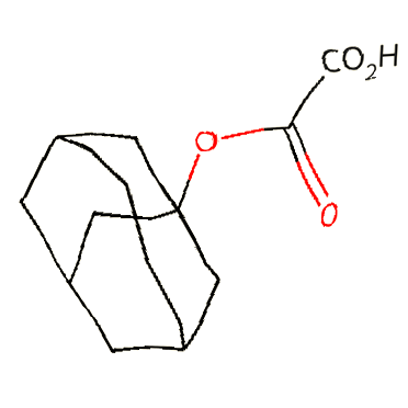 O=C(O)C(=O)OC12CC3CC(CC(C3)C1)C2